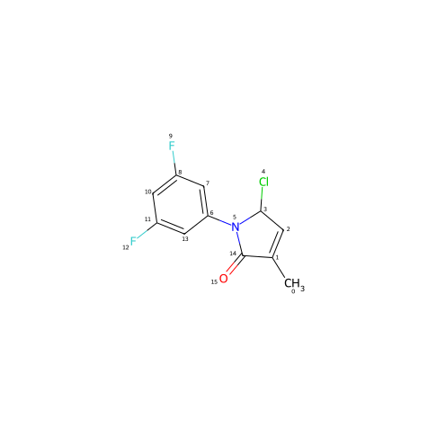 CC1=CC(Cl)N(c2cc(F)cc(F)c2)C1=O